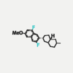 COc1cc(F)c2cc([C@@H]3CC[C@@H]4CC(C)CCC4C3)c(F)cc2c1